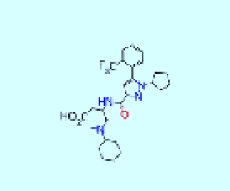 CN(C[C@@H](CC(=O)O)NC(=O)c1cc(-c2ccccc2C(F)(F)F)n(C2CCCC2)n1)C1CCCCC1